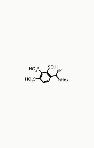 CCCCCCC(CCC)c1ccc(S(=O)(=O)O)c(S(=O)(=O)O)c1S(=O)(=O)O